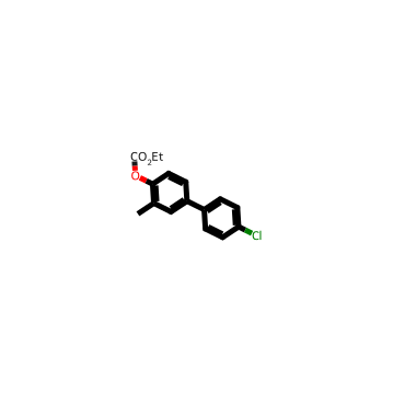 CCOC(=O)Oc1ccc(-c2ccc(Cl)cc2)cc1C